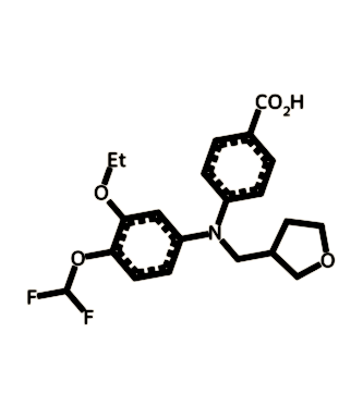 CCOc1cc(N(CC2CCOC2)c2ccc(C(=O)O)cc2)ccc1OC(F)F